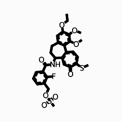 CCOc1cc2c(c(OC)c1OC)-c1ccc(SC)c(=O)cc1C(NC(=O)c1cccc(COS(C)(=O)=O)c1F)CC2